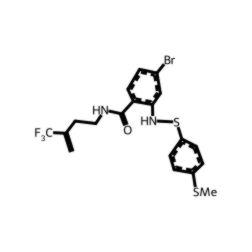 C=C(CCNC(=O)c1ccc(Br)cc1NSc1ccc(SC)cc1)C(F)(F)F